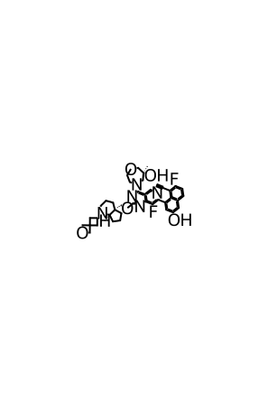 C#Cc1c(F)ccc2cc(O)cc(-c3ncc4c(N5CCOC[C@@](C)(O)C5)nc(OC[C@]56CCC[C@H]5N(C5CC7(COC7)C5)CCC6)nc4c3F)c12